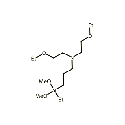 CCOCCN(CCC[Si](CC)(OC)OC)CCOCC